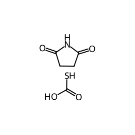 O=C(O)S.O=C1CCC(=O)N1